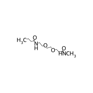 CCCC(=O)NCCOCCOCCC(=O)NC